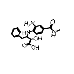 CNC(=O)c1ccc(NC(Cc2ccccc2)C(O)C(=O)O)c(N)c1